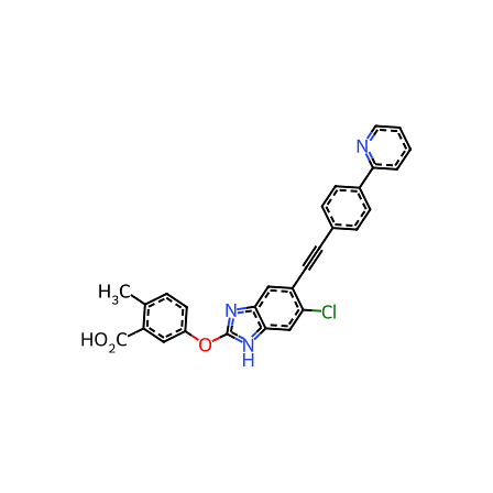 Cc1ccc(Oc2nc3cc(C#Cc4ccc(-c5ccccn5)cc4)c(Cl)cc3[nH]2)cc1C(=O)O